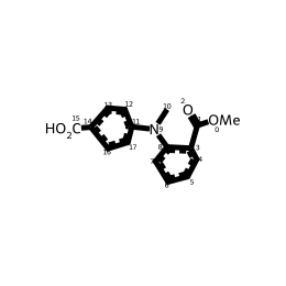 COC(=O)c1ccccc1N(C)c1ccc(C(=O)O)cc1